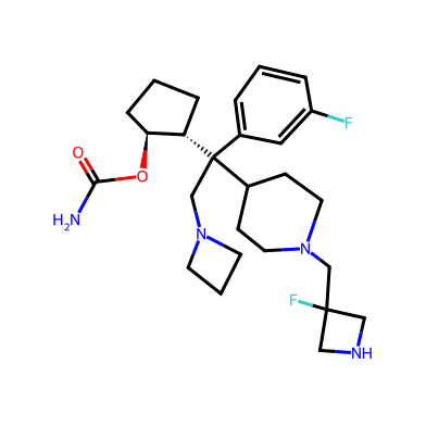 NC(=O)O[C@H]1CCC[C@@H]1C(CN1CCC1)(c1cccc(F)c1)C1CCN(CC2(F)CNC2)CC1